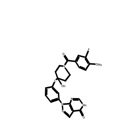 COc1ccc(C(=O)N2CCC(O)(Cc3cccc(-n4ncc5c(=O)[nH]cnc54)c3)CC2)cc1F